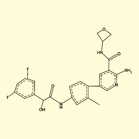 Cc1cc(NC(=O)C(O)c2cc(F)cc(F)c2)ccc1-c1cnc(N)c(C(=O)NC2COC2)c1